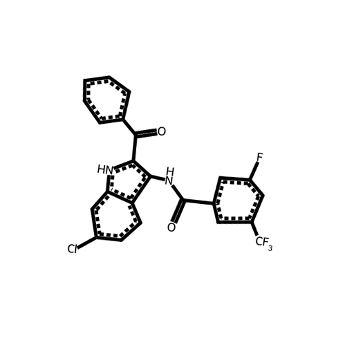 O=C(Nc1c(C(=O)c2ccccc2)[nH]c2cc(Cl)ccc12)c1cc(F)cc(C(F)(F)F)c1